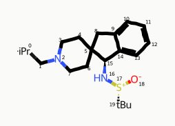 C[C](C)CN1CCC2(CC1)Cc1ccccc1[C@H]2N[S@+]([O-])C(C)(C)C